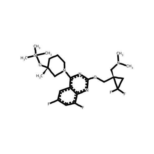 CN(C)C[C@@]1(COc2nc(N3CCC[C@@](C)(O[Si](C)(C)C)C3)c3cc(F)cc(F)c3n2)CC1(F)F